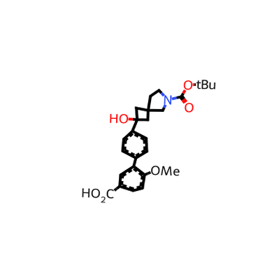 COc1ccc(C(=O)O)cc1-c1ccc(C2(O)CC3(CCN(C(=O)OC(C)(C)C)C3)C2)cc1